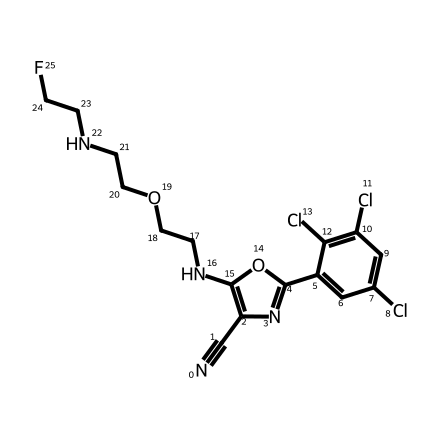 N#Cc1nc(-c2cc(Cl)cc(Cl)c2Cl)oc1NCCOCCNCCF